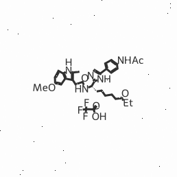 CCC(=O)CCCCC[C@H](NC(=O)Cc1c(C)[nH]c2ccc(OC)cc12)c1ncc(-c2ccc(NC(C)=O)cc2)[nH]1.O=C(O)C(F)(F)F